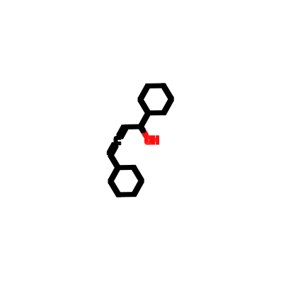 OC(C=C=CC1CCCCC1)C1CCCCC1